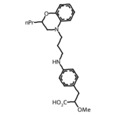 CCCC1CN(CCCNc2ccc(CC(OC)C(=O)O)cc2)c2ccccc2O1